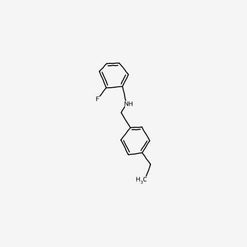 CCc1ccc(CNc2ccccc2F)cc1